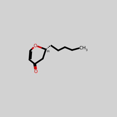 CCCCC[C@@H]1CC(=O)C=CO1